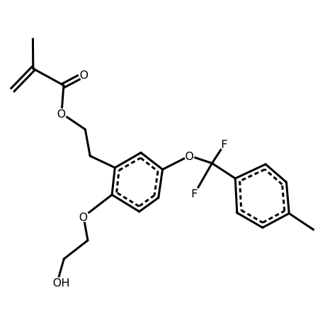 C=C(C)C(=O)OCCc1cc(OC(F)(F)c2ccc(C)cc2)ccc1OCCO